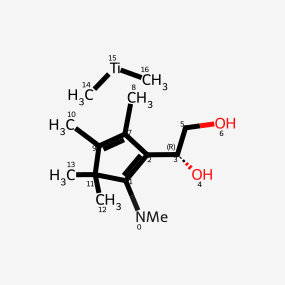 CNC1=C([C@@H](O)CO)C(C)=C(C)C1(C)C.[CH3][Ti][CH3]